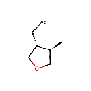 CC(=O)C[C@H]1COC[C@@H]1C